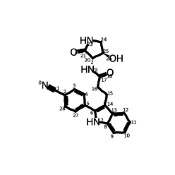 N#Cc1ccc(-c2[nH]c3ccccc3c2CCC(=O)N[C@@H]2C(=O)NC[C@H]2O)cc1